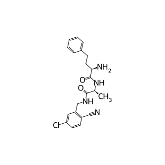 C[C@H](NC(=O)[C@H](N)CCc1ccccc1)C(=O)NCc1cc(Cl)ccc1C#N